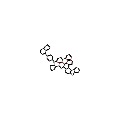 c1ccc(-c2ccc(N(c3ccc(-c4cccc5ccccc45)cc3)c3ccccc3-c3ccc4c5ccccc5c5c(ccc6oc7ccccc7c65)c4c3)cc2)cc1